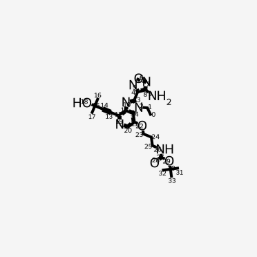 CCn1c(-c2nonc2N)nc2c(C#CC(C)(C)O)ncc(OCCCNC(=O)OC(C)(C)C)c21